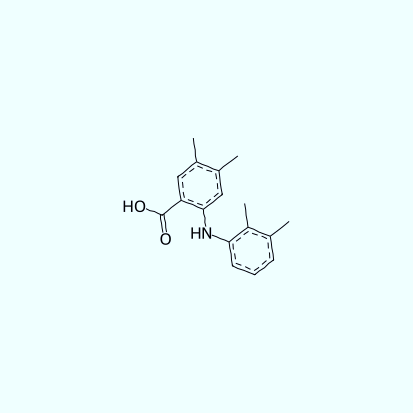 Cc1cc(Nc2cccc(C)c2C)c(C(=O)O)cc1C